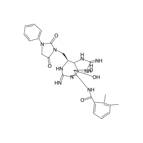 Cc1cccc(C(=O)NC2CN3C(=N)N[C@@H](CN4C(=O)CN(c5ccccc5)C4=O)C4NC(=N)N[C@]43C2(O)O)c1C